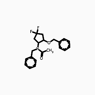 CC(=O)N(Cc1ccccc1)C1CC(F)(F)CC1OCc1ccccc1